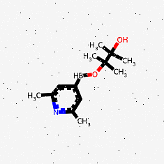 Cc1cc(BOC(C)(C)C(C)(C)O)cc(C)n1